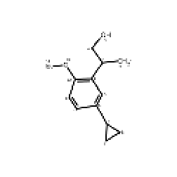 [CH2]C(CO)c1cc(C2CC2)ccc1OCC